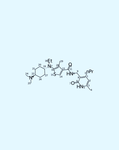 CCCc1cc(C)[nH]c(=O)c1CNC(=O)c1csc(N(CC)[C@H]2CC[C@H](N(C)C)CC2)c1C